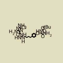 CC(C)(C)OC(=O)N[C@@H](COc1ccc(CCCCNC(=N)NC(=O)c2nc(Cl)c(N)nc2N)cc1)C(N)=O